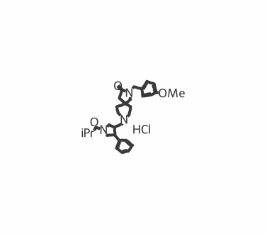 COc1ccc(CN2CC3(CCN(CC4CN(C(=O)C(C)C)CC4c4ccccc4)CC3)CC2=O)cc1.Cl